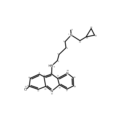 CN(CCCCNc1c2ccc(Cl)cc2nc2cccnc12)CC1CC1